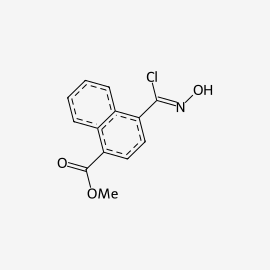 COC(=O)c1ccc(C(Cl)=NO)c2ccccc12